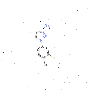 CC(C)c1ccc(-n2ccc(N)n2)cc1F